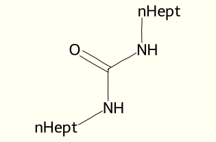 CCCCCCCNC(=O)NCCCCCCC